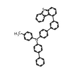 Cc1ccc(N(c2ccc(-c3ccccc3)cc2)c2ccc(-c3cccc(-c4cccc5sc6ccccc6c45)c3)cc2)cc1